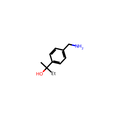 CCC(C)(O)c1ccc(CN)cc1